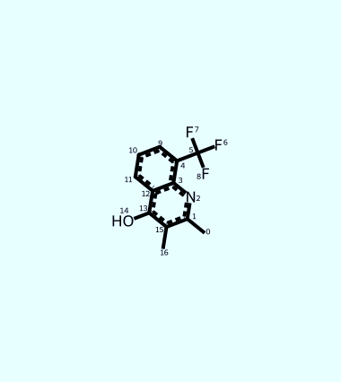 Cc1nc2c(C(F)(F)F)cccc2c(O)c1C